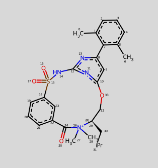 Cc1cccc(C)c1-c1cc2nc(n1)NS(=O)(=O)c1cccc(c1)C(=O)[N+](C)(C)[C@H](CC(C)C)CO2